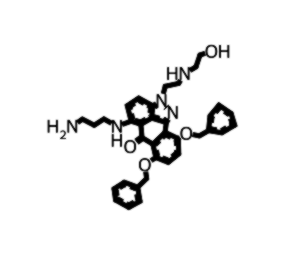 NCCCNc1ccc2c3c(nn2CCNCCO)-c2c(OCc4ccccc4)ccc(OCc4ccccc4)c2C(=O)c13